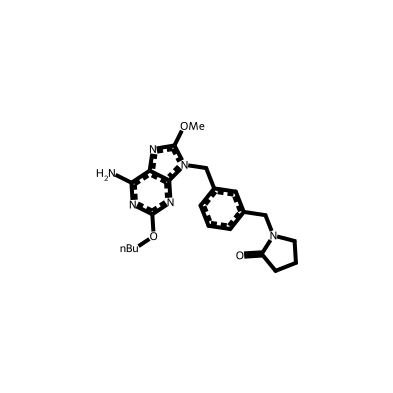 CCCCOc1nc(N)c2nc(OC)n(Cc3cccc(CN4CCCC4=O)c3)c2n1